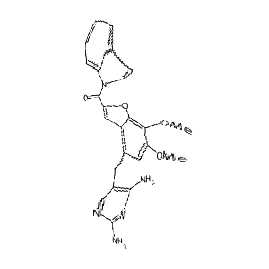 COc1cc(Cc2cnc(N)nc2N)c2cc(C(=O)n3ccc4ccccc43)oc2c1OC